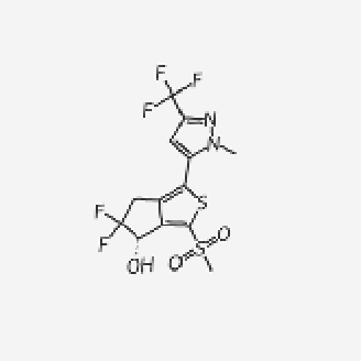 Cn1nc(C(F)(F)F)cc1-c1sc(S(C)(=O)=O)c2c1CC(F)(F)[C@H]2O